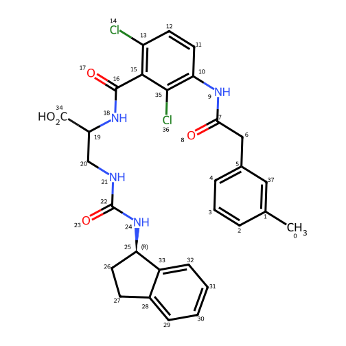 Cc1cccc(CC(=O)Nc2ccc(Cl)c(C(=O)NC(CNC(=O)N[C@@H]3CCc4ccccc43)C(=O)O)c2Cl)c1